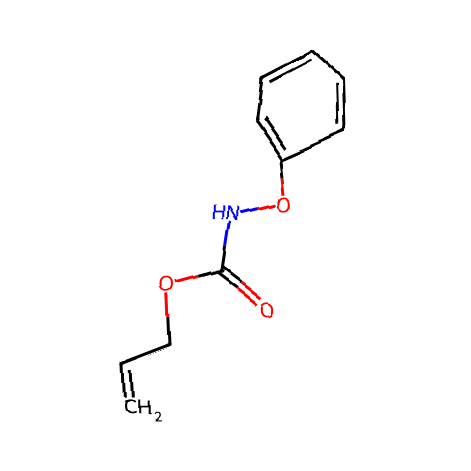 C=CCOC(=O)NOc1ccccc1